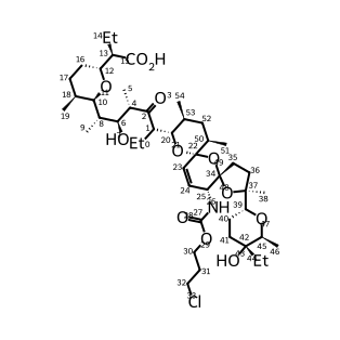 CCC(C(=O)[C@@H](C)[C@@H](O)[C@H](C)[C@@H]1O[C@@H]([C@@H](CC)C(=O)O)CC[C@@H]1C)[C@H]1O[C@]2(C=C[C@@H](NC(=O)OCCCCl)[C@]3(CC[C@@](C)([C@H]4CC[C@](O)(CC)[C@H](C)O4)O3)O2)[C@H](C)C[C@@H]1C